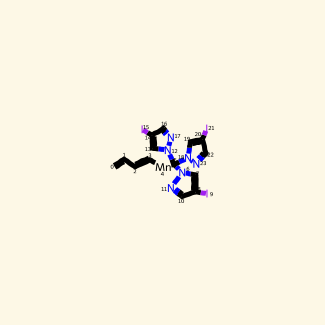 C=CC=[CH][Mn][C](n1cc(I)cn1)(n1cc(I)cn1)n1cc(I)cn1